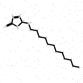 CCCCCCCCCCCCSC1N=NC(=S)S1